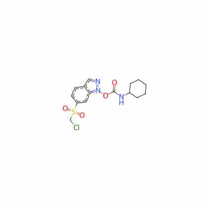 O=C(NC1CCCCC1)On1ncc2ccc(S(=O)(=O)CCl)cc21